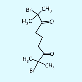 CC(C)(Br)C(=O)CCCC(=O)C(C)(C)Br